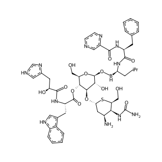 CC(C)C[C@@H](BO[C@@H]1O[C@H](CO)[C@@H](OC(=O)[C@H](Cc2c[nH]c3ccccc23)NC(=O)[C@@H](O)Cc2c[nH]cn2)[C@H](O[C@H]2C[C@H](N)[C@H](NC(N)=O)[C@H](CO)S2)[C@H]1O)NC(=O)[C@H](Cc1ccccc1)NC(=O)c1cnccn1